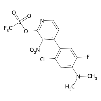 CN(C)c1cc(Cl)c(-c2ccnc(OS(=O)(=O)C(F)(F)F)c2[N+](=O)[O-])cc1F